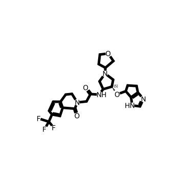 O=C(CN1CCc2ccc(C(F)(F)F)cc2C1=O)NC1CN(C2CCOC2)C[C@@H]1OC1CCc2nc[nH]c21